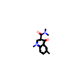 Cc1ccc2c(c1)c(=O)c(C(=O)N(C)C)cn2C